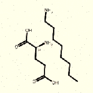 CCCCCCCCN.N[C@@H](CCC(=O)O)C(=O)O